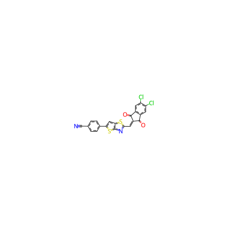 N#Cc1ccc(-c2cc3sc(C=C4C(=O)c5cc(Cl)c(Cl)cc5C4=O)nc3s2)cc1